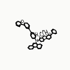 CC1(C)c2cc(-c3ccccc3)ccc2-c2ccc(N(c3ccc(-c4ccc5oc6ccccc6c5c4)cc3)c3cc4ccccc4c4ccccc34)cc21